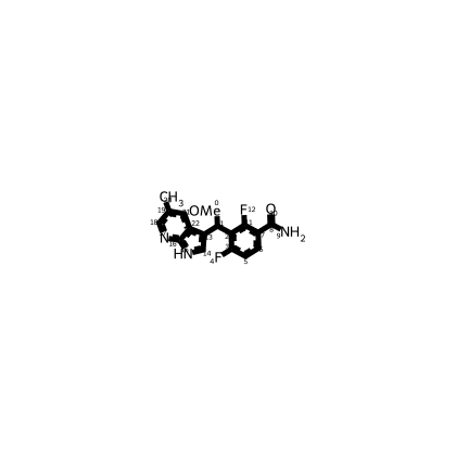 COC(c1c(F)ccc(C(N)=O)c1F)c1c[nH]c2ncc(C)cc12